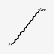 CCCCCCCCCCCCCCCCCCCCCCCCCCC[C](C)C